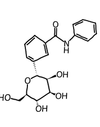 O=C(Nc1ccccc1)c1cccc([C@H]2O[C@H](CO)[C@@H](O)[C@H](O)[C@@H]2O)c1